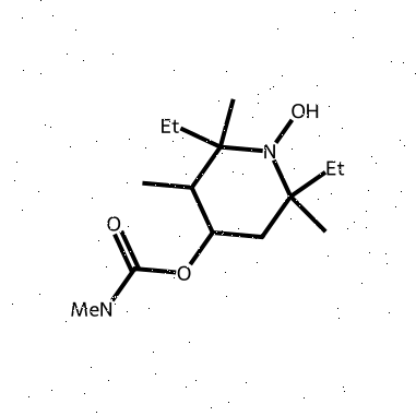 CCC1(C)CC(OC(=O)NC)C(C)C(C)(CC)N1O